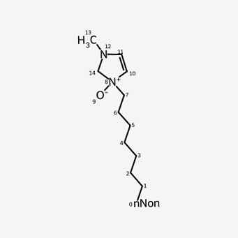 CCCCCCCCCCCCCCCC[N+]1([O-])C=CN(C)C1